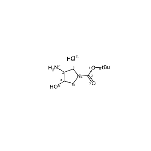 CC(C)(C)OC(=O)N1CC(N)C(O)C1.Cl